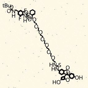 CC(C)(C)OC(=O)NCc1cc(F)c(NS(=O)(=O)C2CCCC=C2C(=O)OCCOCCOCCOCCOCCOCCOCCNC(=S)Nc2ccc3c(c2)C(=O)OC32c3ccc(O)cc3Oc3cc(O)ccc32)c(F)c1